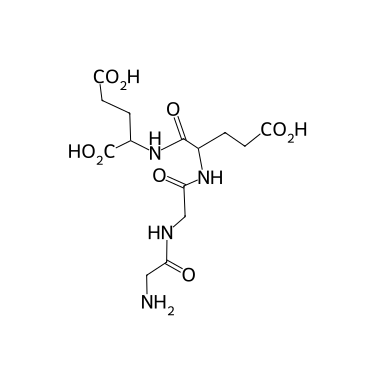 NCC(=O)NCC(=O)NC(CCC(=O)O)C(=O)NC(CCC(=O)O)C(=O)O